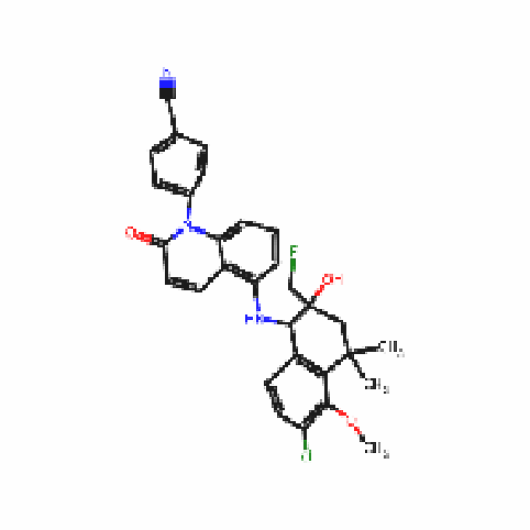 COc1c(Cl)ccc2c1C(C)(C)CC(O)(CF)C2Nc1cccc2c1ccc(=O)n2-c1ccc(C#N)cc1